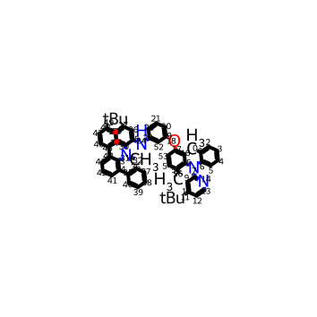 Cc1ccccc1N(c1cc(C(C)(C)C)ccn1)c1cc(Oc2cccc(Nc3ccccc3N(C)c3c(-c4ccccc4)cccc3-c3ccc(C(C)(C)C)cc3)c2)ccc1C